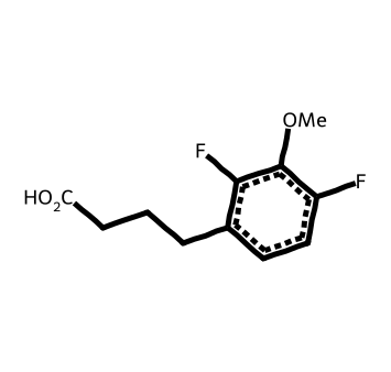 COc1c(F)ccc(CCCC(=O)O)c1F